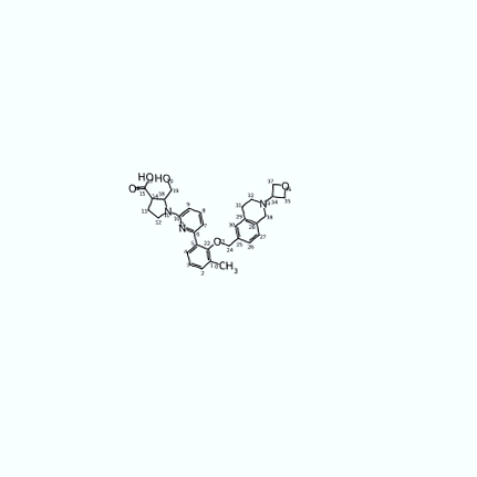 Cc1cccc(-c2cccc(N3CCC(C(=O)O)C3CO)n2)c1OCc1ccc2c(c1)CCN(C1COC1)C2